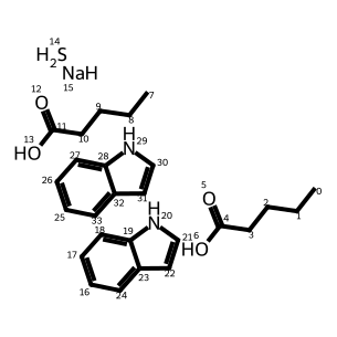 CCCCC(=O)O.CCCCC(=O)O.S.[NaH].c1ccc2[nH]ccc2c1.c1ccc2[nH]ccc2c1